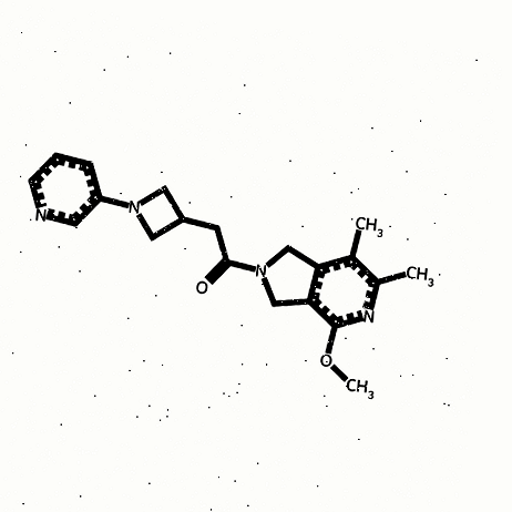 COc1nc(C)c(C)c2c1CN(C(=O)CC1CN(c3cccnc3)C1)C2